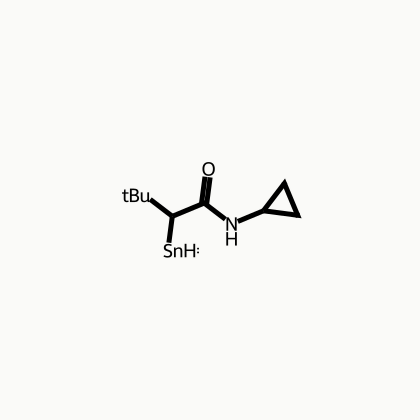 CC(C)(C)[CH]([SnH])C(=O)NC1CC1